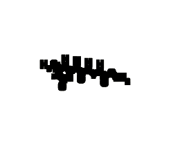 BOC(=O)NCNC(=O)Nc1nc(=O)cc(C)[nH]1